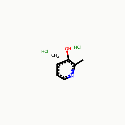 C.Cc1ncccc1O.Cl.Cl